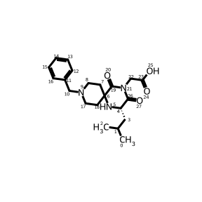 CC(C)C[C@@H]1NC2(CCN(Cc3ccccc3)CC2)C(=O)N(CC(=O)O)C1=O